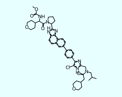 COC(=O)NC(C(=O)N1CCCC1c1nc2c(ccc3cc(-c4ccc(-c5nc(CN(CC(C)C)C(=O)CC6CCOCC6)[nH]c5Cl)cc4)ccc32)[nH]1)C1CCOCC1